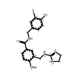 COc1ccc(C(=O)NCc2ccc(Cl)c(F)c2)cc1CNC1=NCCN1